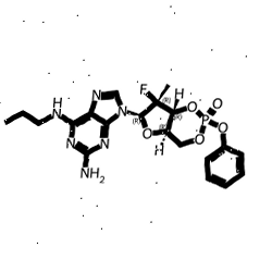 CCCNc1nc(N)nc2c1ncn2[C@@H]1O[C@@H]2COP(=O)(Oc3ccccc3)O[C@H]2[C@@]1(C)F